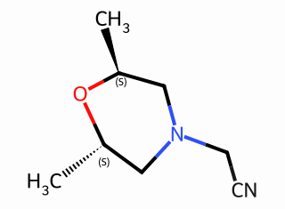 C[C@H]1CN(CC#N)C[C@H](C)O1